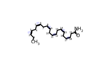 CC/C=C\C/C=C\C/C=C\C/C=C\C/C=C\C/C=C\CC(N)=O